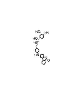 O=c1oc2ccc(Nc3ccc(CCNCC(O)c4ccc(O)c(CO)c4)cc3)cc2c2ccccc12